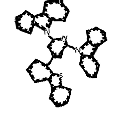 c1ccc2c(c1)sc1c(-c3cc(-n4c5ccccc5c5ccccc54)nc(-n4c5ccccc5c5ccccc54)c3)cccc12